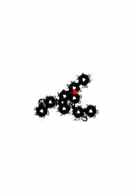 c1ccc(-c2ccc(-c3ccc4c(c3)c3c(N(c5ccccc5)c5ccc6sc7ccccc7c6c5)cccc3n4-c3ccc4oc5ccccc5c4c3)cc2)cc1